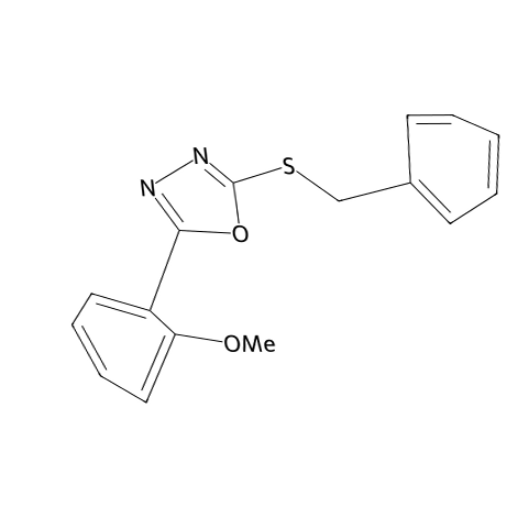 COc1ccccc1-c1nnc(SCc2ccccc2)o1